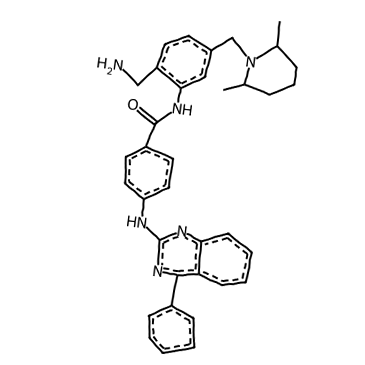 CC1CCCC(C)N1Cc1ccc(CN)c(NC(=O)c2ccc(Nc3nc(-c4ccccc4)c4ccccc4n3)cc2)c1